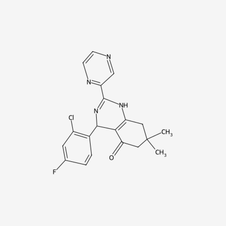 CC1(C)CC(=O)C2=C(C1)NC(c1cnccn1)=NC2c1ccc(F)cc1Cl